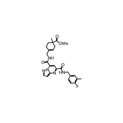 COC(=O)C1(C)CC=C(CNC(=O)c2cc(C(=O)NCc3ccc(F)c(C)c3)nc3ccnn23)CC1